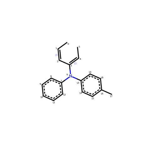 C/C=C\C(=C/C)N(c1ccccc1)c1ccc(C)cc1